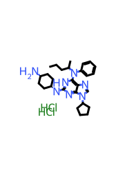 CCCC(C)N(c1ccccc1)c1nc(N[C@H]2CC[C@H](N)CC2)nc2c1ncn2C1CCCC1.Cl.Cl